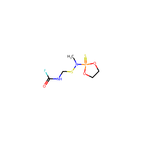 CN(SCNC(=O)F)P1(=S)OCCO1